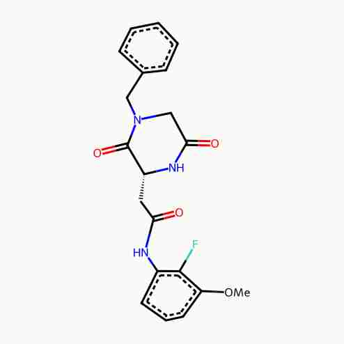 COc1cccc(NC(=O)C[C@H]2NC(=O)CN(Cc3ccccc3)C2=O)c1F